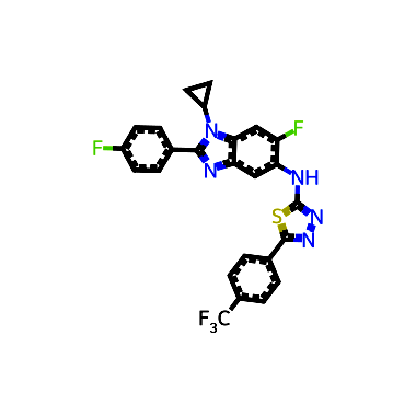 Fc1ccc(-c2nc3cc(Nc4nnc(-c5ccc(C(F)(F)F)cc5)s4)c(F)cc3n2C2CC2)cc1